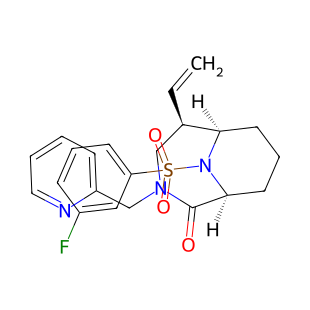 C=C[C@@H]1CN(Cc2ccccn2)C(=O)[C@@H]2CCC[C@H]1N2S(=O)(=O)c1cccc(F)c1